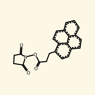 O=C(CCc1ccc2ccc3cccc4ccc1c2c34)ON1C(=O)CCC1=O